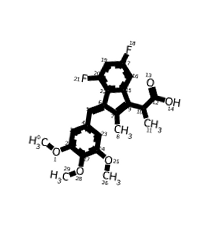 COc1cc(C=C2C(C)=C(C(C)C(=O)O)c3cc(F)cc(F)c32)cc(OC)c1OC